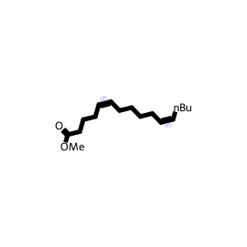 CCCC/C=C\CCCC/C=C\CCCC(=O)OC